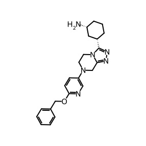 N[C@@H]1CCC[C@H](c2nnc3n2CCN(c2ccc(OCc4ccccc4)nc2)C3)C1